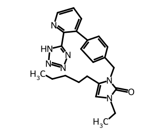 CCCCCc1cn(CC)c(=O)n1Cc1ccc(-c2cccnc2-c2nnn[nH]2)cc1